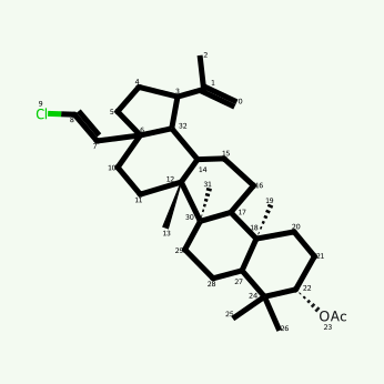 C=C(C)C1CCC2(/C=C/Cl)CC[C@]3(C)C(CCC4[C@@]5(C)CC[C@H](OC(C)=O)C(C)(C)C5CC[C@]43C)C12